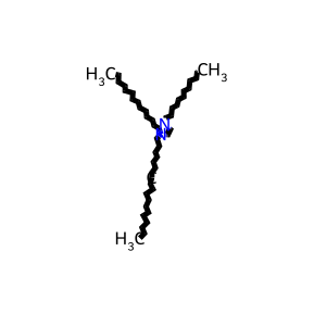 CCCCCCCCCCCCCCCCCCCN1C=CN(CCCCCCCCCCCC)C1CCCCCCCCCCCCC